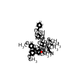 COc1ccc(C(OC[C@H]2O[C@@H](n3cnc4c(NC(=O)c5ccccc5)ncnc43)[C@@H](OP(OCCC#N)N(C(C)C)C(C)C)C2O[Si](C)(C)C(C)(C)C)(c2ccccc2)c2ccc(OC)cc2)cc1